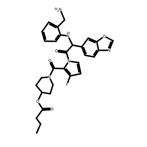 CCCC(=O)OC1CCN(C(=O)c2c(F)ccn2C(=O)C(Nc2ccccc2CN)c2ccc3ncoc3c2)CC1